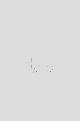 CCCCN1C(=O)C(=C2Sc3ccc(C(C)(C)C)cc3S2)C(=O)N(CCCC)C1=S